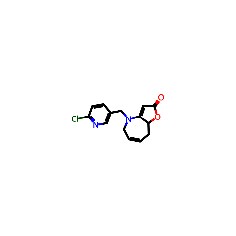 O=C1C=C2C(CC=CCN2Cc2ccc(Cl)nc2)O1